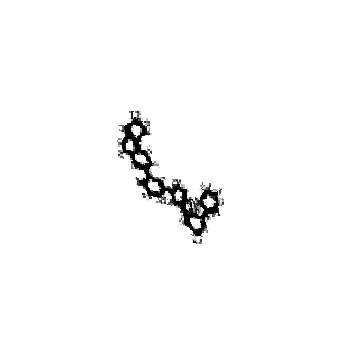 c1cc(-c2ccc3c(ccc4ccccc43)c2)cc(-c2ccc3c(c2)c2cccc4c5ccccc5n3c42)c1